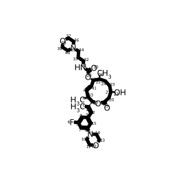 C/C(=C\c1cc(F)cc(N2CCOCC2)c1)[C@H]1OC(=O)C[C@H](O)CC[C@H](C)[C@H](OC(=O)NCCCN2CCOCC2)/C=C/[C@@H]1C